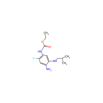 CCOC(=O)Nc1cc(NCC(C)C)c(N)cc1F